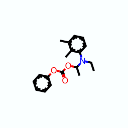 CCN(c1cccc(C)c1C)C(C)OC(=O)Oc1ccccc1